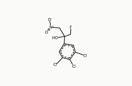 O=[N+]([O-])CC(O)(CF)c1cc(Cl)c(Cl)c(Cl)c1